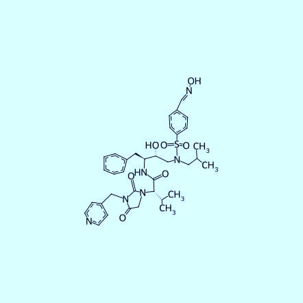 CC(C)CN(C[C@@H](O)[C@H](Cc1ccccc1)NC(=O)[C@H](C(C)C)N1CC(=O)N(Cc2ccncc2)C1=O)S(=O)(=O)c1ccc(/C=N/O)cc1